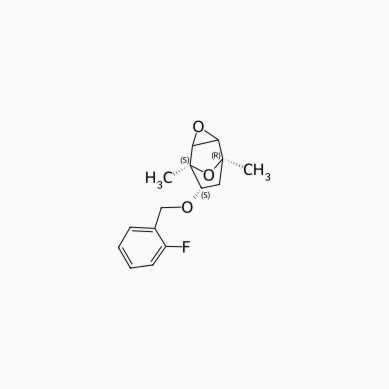 C[C@]12C[C@H](OCc3ccccc3F)[C@](C)(O1)C1OC12